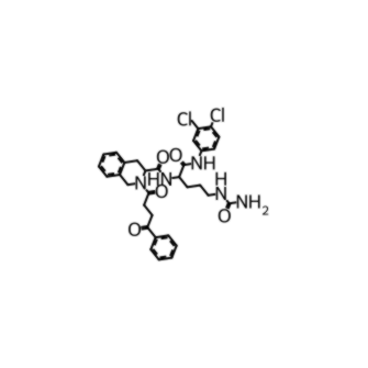 NC(=O)NCCCC(NC(=O)C1Cc2ccccc2CN1C(=O)CCC(=O)c1ccccc1)C(=O)Nc1ccc(Cl)c(Cl)c1